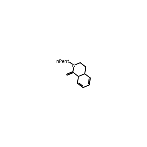 C=C1C2C=CC=CC2CCN1CCCCC